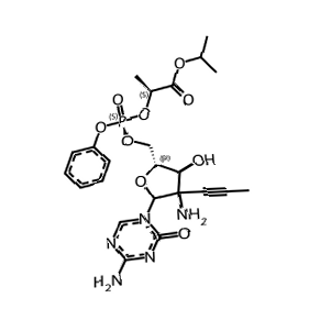 CC#CC1(N)C(O)[C@@H](CO[P@](=O)(Oc2ccccc2)O[C@@H](C)C(=O)OC(C)C)OC1n1cnc(N)nc1=O